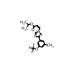 Cc1cc(OC(F)(F)F)cc(-c2ncn(/C=C\C(=O)OC(C)C)n2)c1